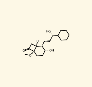 CO[C@]12CC[C@@H](O)[C@H](/C=C/[C@H](O)C3CCCCC3)[C@H]1CC2=O